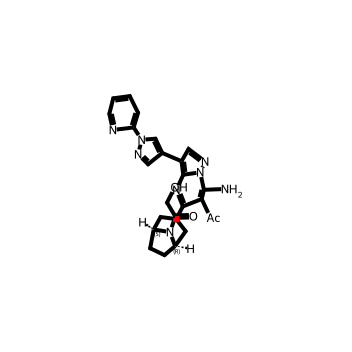 CC(=O)c1c(C2C[C@H]3CC[C@@H](C2)N3C(=O)CO)nc2c(-c3cnn(-c4ccccn4)c3)cnn2c1N